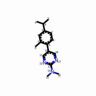 Cc1cc(C(C)C)ccc1-c1cnc(N(C)C)nc1